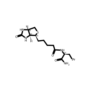 CC(C)C[C@H](NC(=O)CCCC[C@@H]1SC[C@@H]2NC(=O)N[C@@H]21)C(N)=O